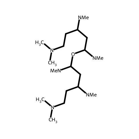 CNC(CCN(C)C)CC(NC)OC(CC(CCN(C)C)NC)NC